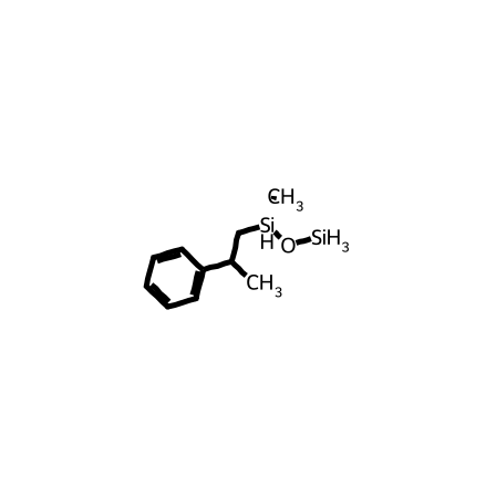 CC(C[SiH](C)O[SiH3])c1ccccc1